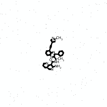 C[C@H](NC(=O)c1c(N)ncc2cccnc12)c1nc2cccc(C#Cc3cnn(C)c3)c2nc1-c1ccccc1